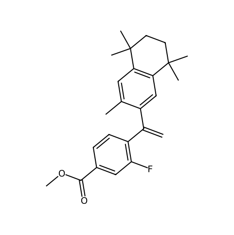 C=C(c1cc2c(cc1C)C(C)(C)CCC2(C)C)c1ccc(C(=O)OC)cc1F